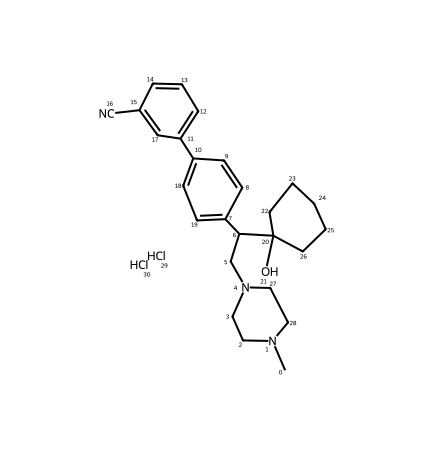 CN1CCN(CC(c2ccc(-c3cccc(C#N)c3)cc2)C2(O)CCCCC2)CC1.Cl.Cl